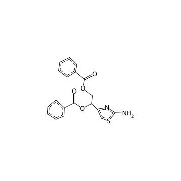 Nc1nc(C(COC(=O)c2ccccc2)OC(=O)c2ccccc2)cs1